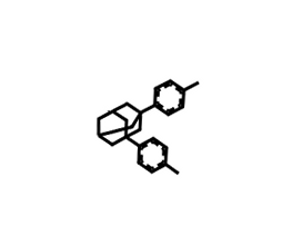 Cc1ccc(C23C[C]4CC(C2)CC(c2ccc(C)cc2)(C4)C3)cc1